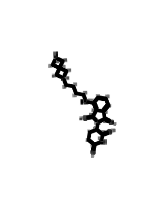 O=C1CCC(N2C(=O)c3cccc(NCCCCN4CC5(CNC5)C4)c3C2=O)C(=O)N1